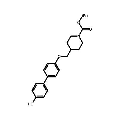 CC(C)(C)OC(=O)N1CCC(COc2ccc(-c3ccc(O)cc3)cc2)CC1